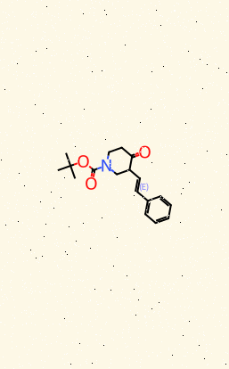 CC(C)(C)OC(=O)N1CCC(=O)C(/C=C/c2ccccc2)C1